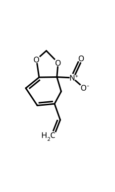 C=CC1=CC=C2OCOC2([N+](=O)[O-])C1